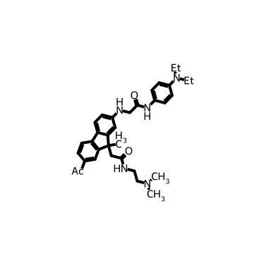 CCN(CC)c1ccc(NC(=O)CNc2ccc3c(c2)C(C)(CC(=O)NCCN(C)C)c2cc(C(C)=O)ccc2-3)cc1